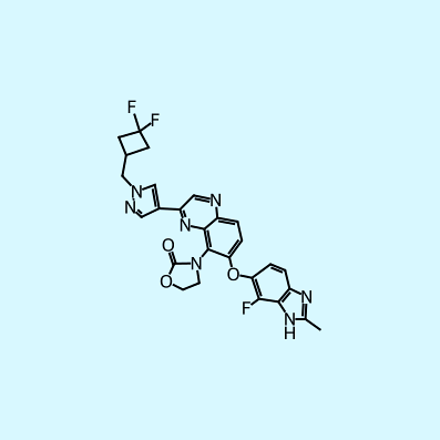 Cc1nc2ccc(Oc3ccc4ncc(-c5cnn(CC6CC(F)(F)C6)c5)nc4c3N3CCOC3=O)c(F)c2[nH]1